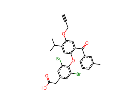 C#CCOc1cc(C(=O)c2cccc(C)c2)c(Oc2c(Br)cc(CC(=O)O)cc2Br)cc1C(C)C